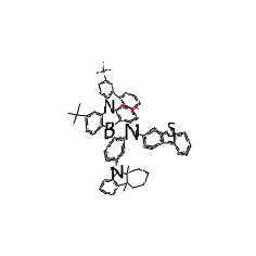 Cc1cc2c3c(c1)N(c1ccc(C(C)(C)C)cc1-c1ccccc1)c1cc(C(C)(C)C)ccc1B3c1ccc(N3c4ccccc4C4(C)CCCCC34C)cc1N2c1ccc2c(c1)sc1ccccc12